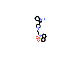 O=S1(=O)c2cccc3cccc(c23)N1CCCN1CCC(c2c[nH]c3ccccc23)CC1